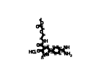 COC(=O)COCCNC(=O)c1cc(-c2ccc(C(=N)N)cc2)nn(C)c1=O.Cl